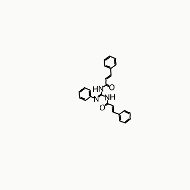 O=C(C=Cc1ccccc1)NC(=Nc1ccccc1)NC(=O)C=Cc1ccccc1